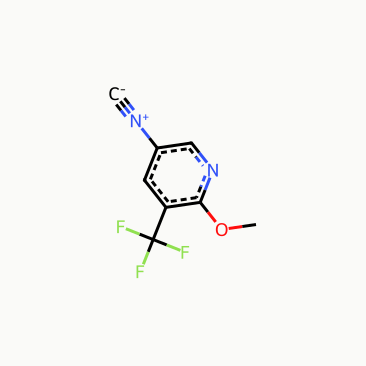 [C-]#[N+]c1cnc(OC)c(C(F)(F)F)c1